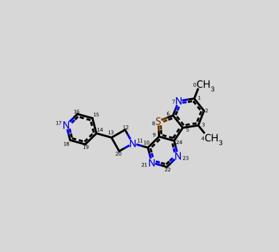 Cc1cc(C)c2c(n1)sc1c(N3CC(c4ccncc4)C3)ncnc12